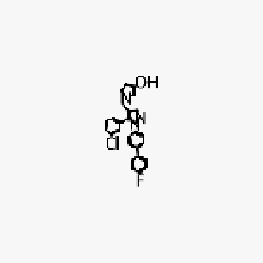 OC1CCN(Cc2cnn(-c3ccc(-c4ccc(F)cc4)cc3)c2-c2cccc(Cl)c2)C1